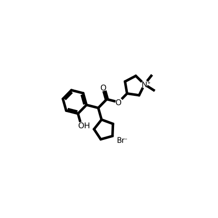 C[N+]1(C)CCC(OC(=O)C(c2ccccc2O)C2CCCC2)C1.[Br-]